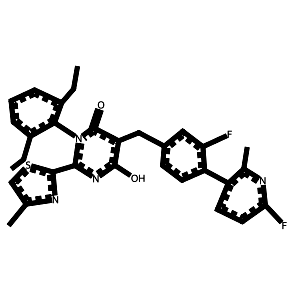 CCc1cccc(CC)c1-n1c(-c2nc(C)cs2)nc(O)c(Cc2ccc(-c3ccc(F)nc3C)c(F)c2)c1=O